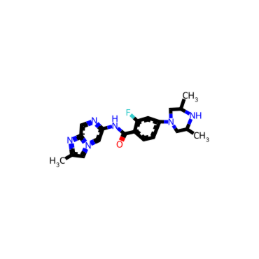 Cc1cn2cc(NC(=O)c3ccc(N4CC(C)NC(C)C4)cc3F)ncc2n1